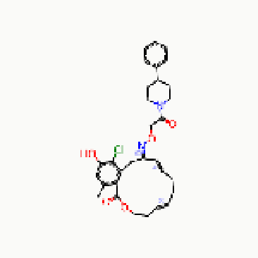 Cc1cc(O)c(Cl)c2c1C(=O)OCC/C=C/CC/C=C/C(=N\OCC(=O)N1CCC(c3ccccc3)CC1)C2